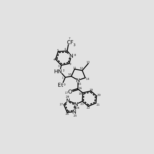 CCC(Nc1ccc(C(F)(F)F)nc1)C1CC(C)CN1C(=O)c1ccccc1-n1nccn1